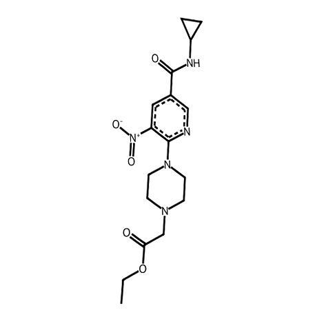 CCOC(=O)CN1CCN(c2ncc(C(=O)NC3CC3)cc2[N+](=O)[O-])CC1